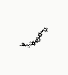 Cc1cc(COC(=O)NCc2ccc(-c3cc(NC(=O)c4ccc(OCCN5CCOCC5)cc4)[nH]n3)cc2)no1